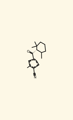 Cc1cc(C(=O)[C@H]2C(C)CCCC2(C)C)ccc1C#N